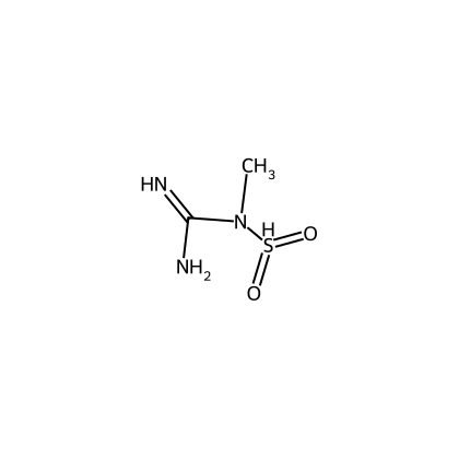 CN(C(=N)N)[SH](=O)=O